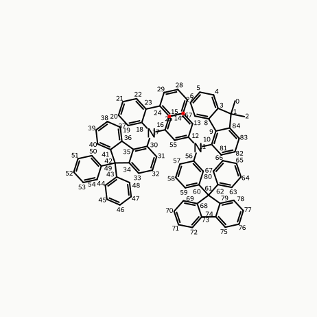 CC1(C)c2ccccc2-c2c(N(c3cccc(N(c4ccccc4-c4ccccc4)c4cccc5c4-c4ccccc4C5(c4ccccc4)c4ccccc4)c3)c3cccc(C4(c5ccccc5)c5ccccc5-c5ccccc54)c3)cccc21